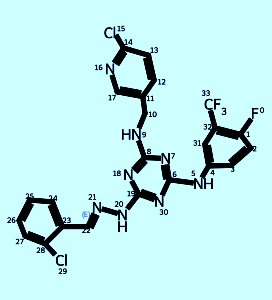 Fc1ccc(Nc2nc(NCc3ccc(Cl)nc3)nc(N/N=C/c3ccccc3Cl)n2)cc1C(F)(F)F